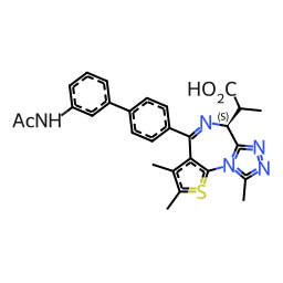 CC(=O)Nc1cccc(-c2ccc(C3=N[C@@H](C(C)C(=O)O)c4nnc(C)n4-c4sc(C)c(C)c43)cc2)c1